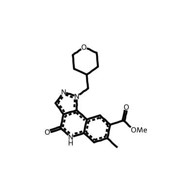 COC(=O)c1cc2c(cc1C)[nH]c(=O)c1cnn(CC3CCOCC3)c12